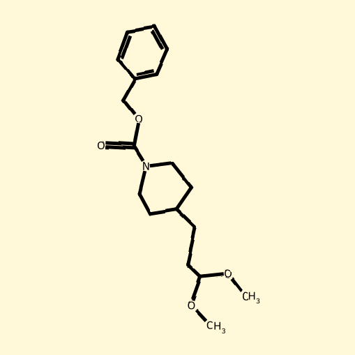 COC(CCC1CCN(C(=O)OCc2ccccc2)CC1)OC